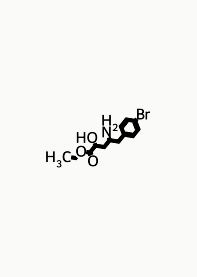 CCOC(=O)C(O)CC(N)Cc1ccc(Br)cc1